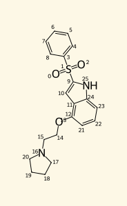 O=S(=O)(c1ccccc1)c1cc2c(OCCN3CCCC3)cccc2[nH]1